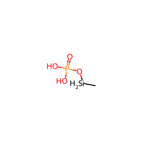 C[SiH2]OP(=O)(O)O